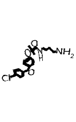 CC(C)(Oc1ccc(C(=O)c2ccc(Cl)cc2)cc1)C(=O)NCCCCN